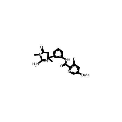 COc1cnc(C(=O)Nc2cccc(C3(C)CC(=O)N(C)C(N)=N3)c2)c(F)c1